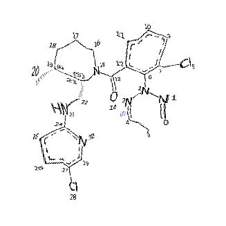 C=NN(/N=C\C)c1c(Cl)cccc1C(=O)N1CCC[C@@H](C)[C@H]1CNc1ccc(Cl)cn1